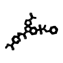 COC(=O)c1ccc(NC(=O)N2CC3(CCN(C(C)=O)C3)c3cc(S(=O)(=O)N(C)Cc4ccccc4)ccc32)nc1